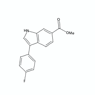 COC(=O)c1ccc2c(-c3ccc(F)cc3)c[nH]c2c1